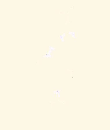 CC(=O)OC(Cc1ccccc1)c1nc(Cl)cc(-c2nn(C3CCCCO3)c3ccc(O[C@H](C)CCNC(=O)OCc4ccccc4)cc23)n1